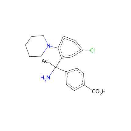 CC(=O)C(N)(c1ccc(C(=O)O)cc1)c1cc(Cl)ccc1N1CCCCC1